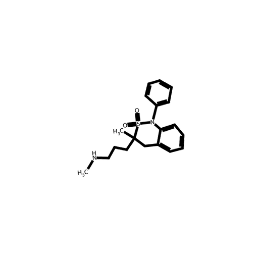 CNCCCC1(C)Cc2ccccc2N(c2ccccc2)S1(=O)=O